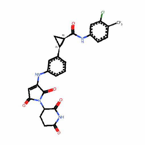 O=C1CCC(N2C(=O)C=C(Nc3cccc([C@H]4C[C@H]4C(=O)Nc4ccc(C(F)(F)F)c(Cl)c4)c3)C2=O)C(=O)N1